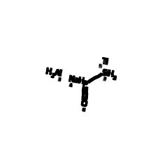 O=P[SiH3].[AlH3].[NaH].[Ti]